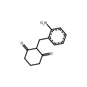 O=C1CCCC(=O)C1Cc1ccccc1[N+](=O)[O-]